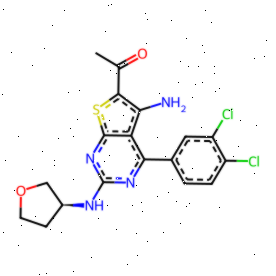 CC(=O)c1sc2nc(N[C@H]3CCOC3)nc(-c3ccc(Cl)c(Cl)c3)c2c1N